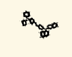 C1=CC(/C=C/c2ccc(N(c3ccccc3)c3ccccc3)cc2)CC=C1N(C1=Cc2ccccc2CC1)c1cccc2ccccc12